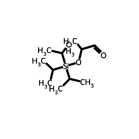 CC(C=O)O[Si](C(C)C)(C(C)C)C(C)C